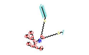 CC1(C)OCC(COCC(COCC2COC(C)(C)O2)OCC(COC(COCC2COC(C)(C)O2)COCC2COC(C)(C)O2)OCc2cn(C(COCCCCCCCCCCCSCCC(F)F)COCCCCCCCCCCCSCCC(F)(F)C(F)(F)C(F)(F)C(F)(F)C(F)(F)C(F)(F)C(F)(F)C(F)(F)F)nn2)O1